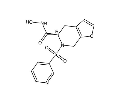 O=C(NO)[C@H]1Cc2ccoc2CN1S(=O)(=O)c1cccnc1